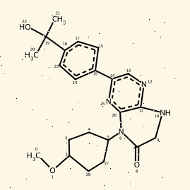 COC1CCC(N2C(=O)CNc3ncc(-c4ccc(C(C)(C)O)cc4)nc32)CC1